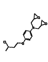 CC(Cl)CCOc1ccc(N(CC2CO2)CC2CO2)cc1